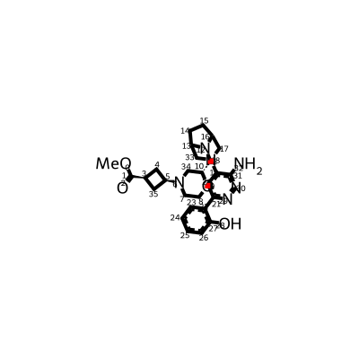 COC(=O)[C@H]1C[C@@H](N2CCO[C@@H](CN3C4CCC3CN(c3cc(-c5ccccc5O)nnc3N)C4)C2)C1